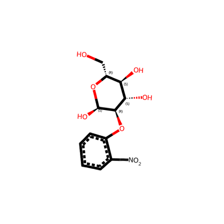 O=[N+]([O-])c1ccccc1O[C@@H]1[C@@H](O)[C@H](O)[C@@H](CO)O[C@@H]1O